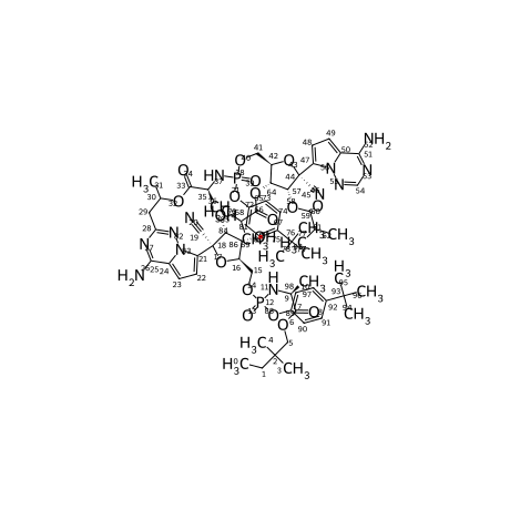 CCC(C)(C)COC(=O)[C@H](C)NP(=O)(OC[C@H]1O[C@@](C#N)(c2ccc3c(N)nc(CC(C)OC(=O)[C@H](C)NP(=O)(OC[C@H]4O[C@@](C#N)(c5ccc6c(N)ncnn56)[C@H](OC(=O)C(C)C)[C@@H]4OC(=O)C(C)C)Oc4ccc(C(C)(C)C)cc4)nn23)[C@H](O)[C@@H]1O)Oc1ccc(C(C)(C)C)cc1